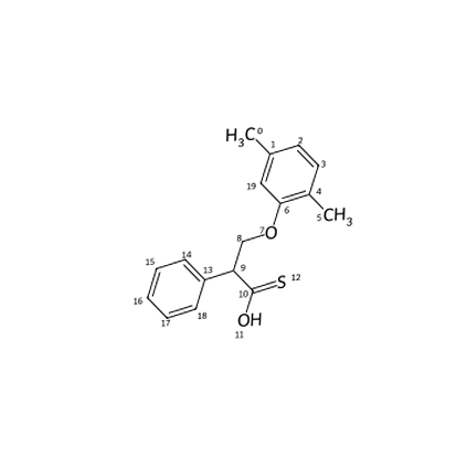 Cc1ccc(C)c(OCC(C(O)=S)c2ccccc2)c1